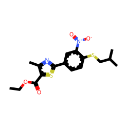 CCOC(=O)c1sc(-c2ccc(SCC(C)C)c([N+](=O)[O-])c2)nc1C